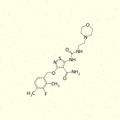 Cc1ccc(COc2nsc(NC(=O)NCCN3CCOCC3)c2C(N)=O)c(C)c1F